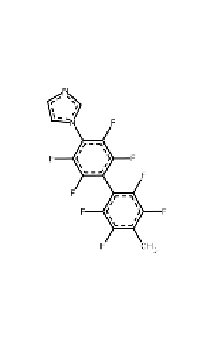 Cc1c(F)c(F)c(-c2c(F)c(F)c(-n3ccnc3)c(F)c2F)c(F)c1F